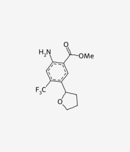 COC(=O)c1cc(C2CCCO2)c(C(F)(F)F)cc1N